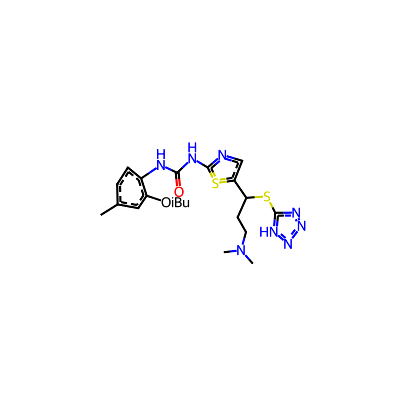 Cc1ccc(NC(=O)Nc2ncc(C(CCN(C)C)Sc3nnn[nH]3)s2)c(OCC(C)C)c1